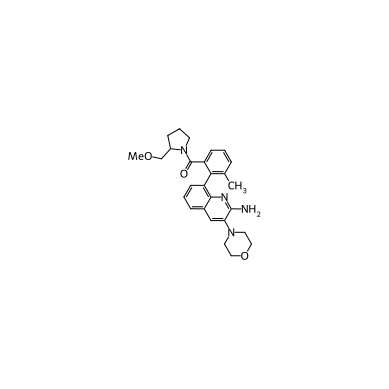 COCC1CCCN1C(=O)c1cccc(C)c1-c1cccc2cc(N3CCOCC3)c(N)nc12